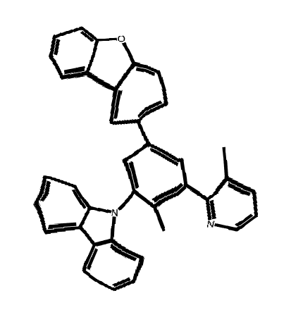 Cc1cccnc1-c1cc(-c2ccc3oc4ccccc4c3c2)cc(-n2c3ccccc3c3ccccc32)c1C